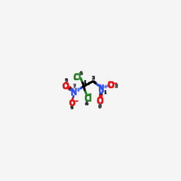 O=[N+]([O-])CC(Cl)(Cl)[N+](=O)[O-]